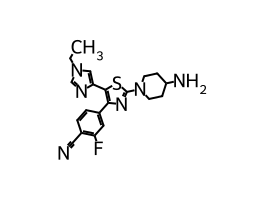 CCn1cnc(-c2sc(N3CCC(N)CC3)nc2-c2ccc(C#N)c(F)c2)c1